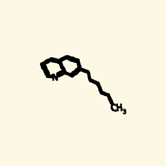 CCCCCCc1ccc2cccnc2c1